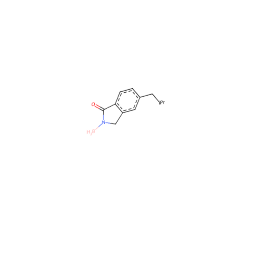 BN1Cc2cc(CC(C)C)ccc2C1=O